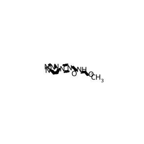 COCCCNC(=O)CN1CCN(c2ccc3nncn3n2)CC1